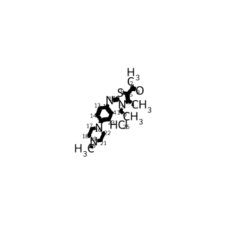 CCn1c(C)c(C(C)=O)sc1=Nc1ccc(N2CCN(C)CC2)cc1.Cl